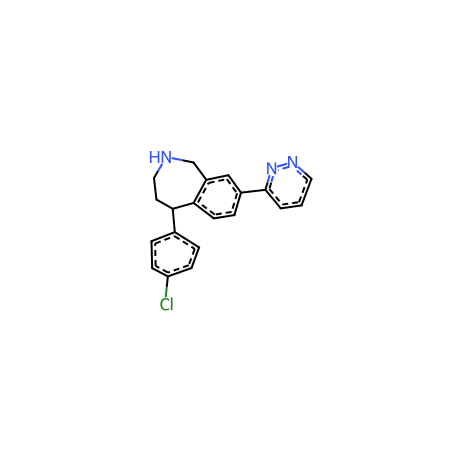 Clc1ccc(C2CCNCc3cc(-c4cccnn4)ccc32)cc1